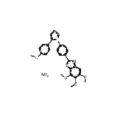 COc1ccc(-c2cncn2-c2ccc(-c3nc4cc(OC)c(OC)c(OC)c4s3)cc2)cc1.N